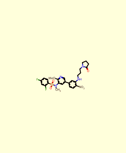 COc1ncc(-c2ccc([N+](=O)[O-])c(NCCCN3CCCC3=O)c2)cc1N(C)S(=O)(=O)c1ccc(F)cc1F